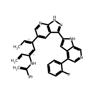 C=C/C(=C\C(=C/C)c1cnc2[nH]nc(-c3cc4c(-c5ccccc5F)cncc4[nH]3)c2c1)NC(=C)C(C)C